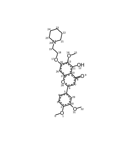 COc1ccc(-c2cc(=O)c3c(O)c(OC)c(OCCN4CCCCC4)cc3o2)cc1OC